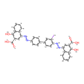 O=C(O)c1cc(N=Nc2ccc(-c3ccc(N=Nc4cc(C(=O)O)c(O)c5ccccc45)c(I)c3)cc2)c2ccccc2c1O